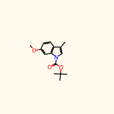 COc1ccc2c(C)cn(C(=O)OC(C)(C)C)c2c1